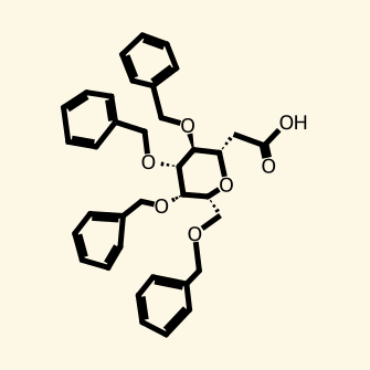 O=C(O)C[C@@H]1O[C@H](COCc2ccccc2)[C@H](OCc2ccccc2)[C@H](OCc2ccccc2)[C@H]1OCc1ccccc1